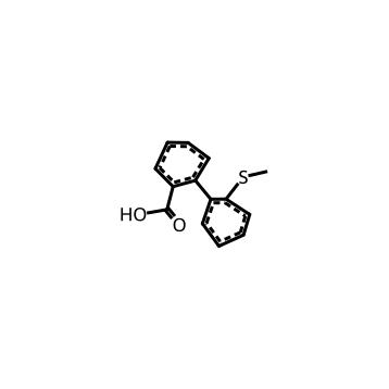 CSc1ccccc1-c1ccccc1C(=O)O